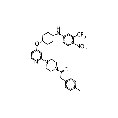 Cc1ccc(CC(=O)N2CCN(c3cc(O[C@H]4CC[C@H](Nc5ccc([N+](=O)[O-])c(C(F)(F)F)c5)CC4)ccn3)CC2)cc1